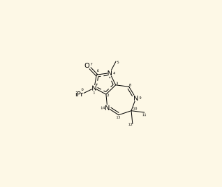 CC(C)n1c2c(n(C)c1=O)C=NC(C)(C)C=N2